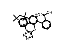 CC(C)(C)CC(C)(C)c1cc(O)c(-c2ccccc2C(O)=S)c(Sc2nnnn2-c2ccccc2)c1O